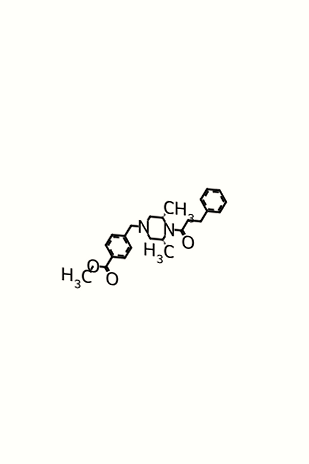 COC(=O)c1ccc(CN2C[C@@H](C)N(C(=O)CCc3ccccc3)[C@@H](C)C2)cc1